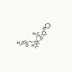 CCC1(OC/C=C/C(=O)OC)CCC(C)(c2cccc(Oc3ccccc3)c2)OC1